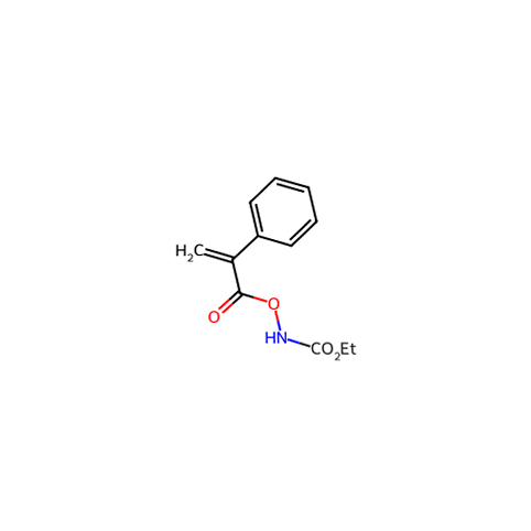 C=C(C(=O)ONC(=O)OCC)c1ccccc1